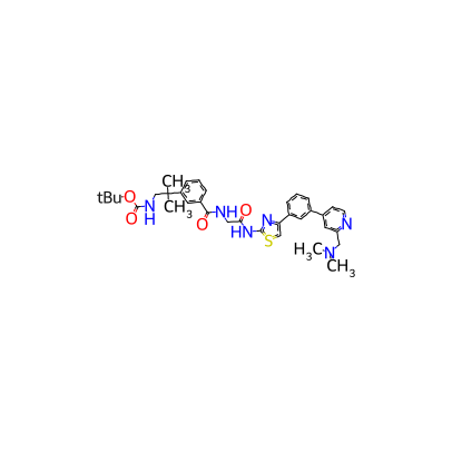 CN(C)Cc1cc(-c2cccc(-c3csc(NC(=O)CNC(=O)c4cccc(C(C)(C)CNC(=O)OC(C)(C)C)c4)n3)c2)ccn1